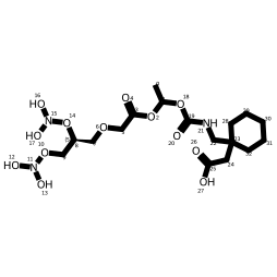 CC(OC(=O)COC[C@@H](CON(O)O)ON(O)O)OC(=O)NCC1(CC(=O)O)CCCCC1